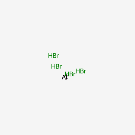 Br.Br.Br.Br.[Al]